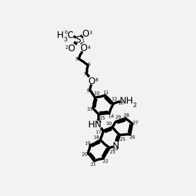 CS(=O)(=O)OCCCOCc1cc(N)cc(Nc2c3ccccc3nc3ccccc23)c1